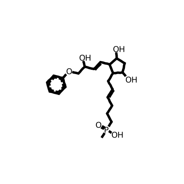 CP(=O)(O)CCCC=CCC1C(O)CC(O)C1C=CC(O)COc1ccccc1